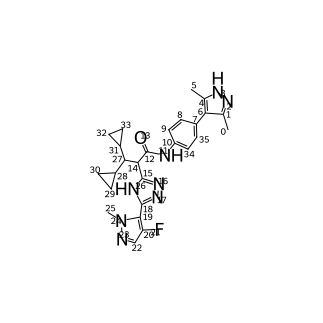 Cc1n[nH]c(C)c1-c1ccc(NC(=O)C(c2nnc(-c3c(F)cnn3C)[nH]2)C(C2CC2)C2CC2)cc1